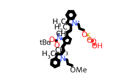 COCCCN1/C(=C/C=C2\CCC(/C=C/C3=[N+](CCCOSOOO)c4ccccc4C3(C)C)=C2N(C)C(=O)OC(C)(C)C)C(C)(C)c2ccccc21